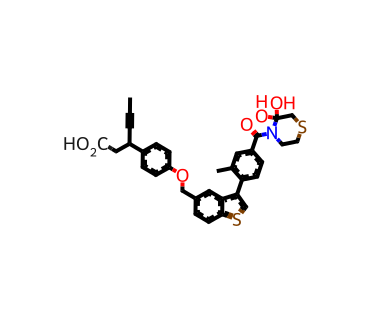 CC#CC(CC(=O)O)c1ccc(OCc2ccc3scc(-c4ccc(C(=O)N5CCSCC5(O)O)cc4C)c3c2)cc1